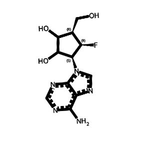 Nc1ncnc2c1ncn2[C@H]1C(O)C(O)[C@@H](CO)[C@H]1F